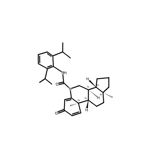 CC(C)c1cccc(C(C)C)c1NC(=O)N1C[C@H]2[C@@H]3CCC[C@@]3(C)CC[C@@H]2[C@@]2(C)C=CC(=O)C=C12